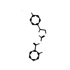 O=C(O)c1ccc(C2CN=C(NC(=O)c3ccccc3O)S2)cc1